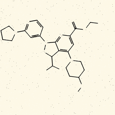 CCOC(=O)c1cc(N2CCC(OC)CC2)c2c(n1)N(c1ccnc(N3CCCC3)c1)NC2C(C)C